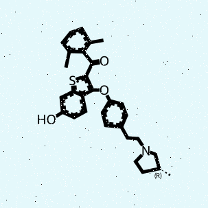 Cc1cccc(C)c1C(=O)c1sc2cc(O)ccc2c1Oc1ccc(CCN2CC[C@@H](C)C2)cc1